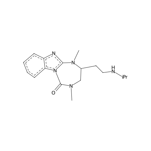 CC(C)NCCC1CN(C)C(=O)n2c(nc3ccccc32)N1C